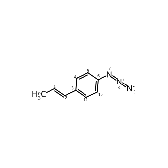 CC=Cc1ccc(N=[N+]=[N-])cc1